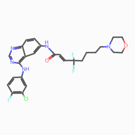 O=C(C=CC(F)(F)CCCCN1CCOCC1)Nc1ccc2ncnc(Nc3ccc(F)c(Cl)c3)c2c1